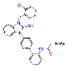 CNCC(=O)Nc1ccccc1-c1ccc(-n2c(=N)n(Cc3ccccc3Cl)c3ccccc32)cc1